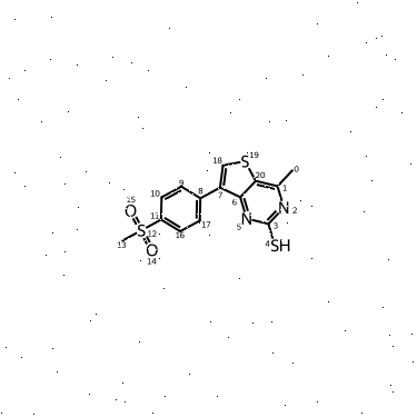 Cc1nc(S)nc2c(-c3ccc(S(C)(=O)=O)cc3)csc12